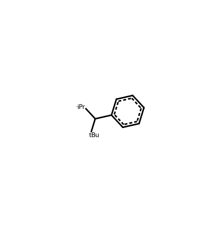 C[C](C)C(c1ccccc1)C(C)(C)C